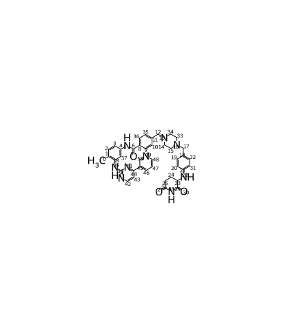 Cc1ccc(NC(=O)c2ccc(CN3CCN(Cc4ccc(NC5CCC(=O)NC5=O)cc4)CC3)cc2)cc1Nc1nccc(-c2cccnc2)n1